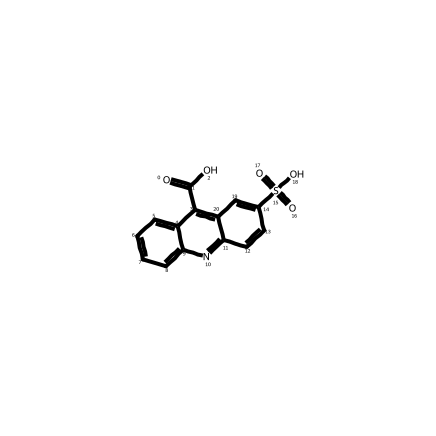 O=C(O)c1c2ccccc2nc2ccc(S(=O)(=O)O)cc12